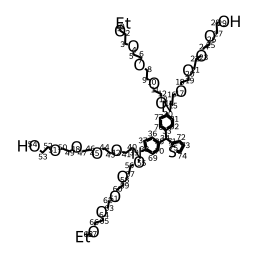 CCOCCOCCOCCOCCON(CCOCCOCCOCCOCCO)c1ccc(C(c2ccc(N(CCOCCOCCOCCOCCO)OCCOCCOCCOCCOCC)cc2)c2cccs2)cc1